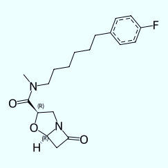 CN(CCCCCCc1ccc(F)cc1)C(=O)[C@H]1CN2C(=O)C[C@H]2O1